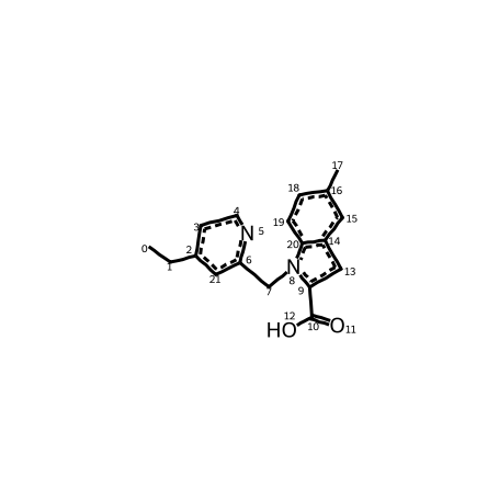 CCc1ccnc(Cn2c(C(=O)O)cc3cc(C)ccc32)c1